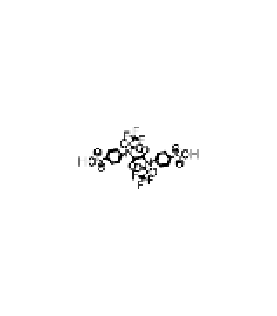 O=C(C(=O)N(c1ccc(S(=O)(=O)O)cc1)S(=O)(=O)C(F)(F)F)N(c1ccc(S(=O)(=O)O)cc1)S(=O)(=O)C(F)(F)F